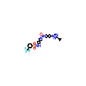 O=C(N1CC2(CC(NS(=O)(=O)c3cccc(C(F)(F)F)c3)C2)C1)N1CC2(CC(n3cnc(C4CC4)n3)C2)C1